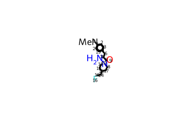 CNc1ccc(C[C@H](N)C(=O)N2CCC(CCF)CC2)cc1